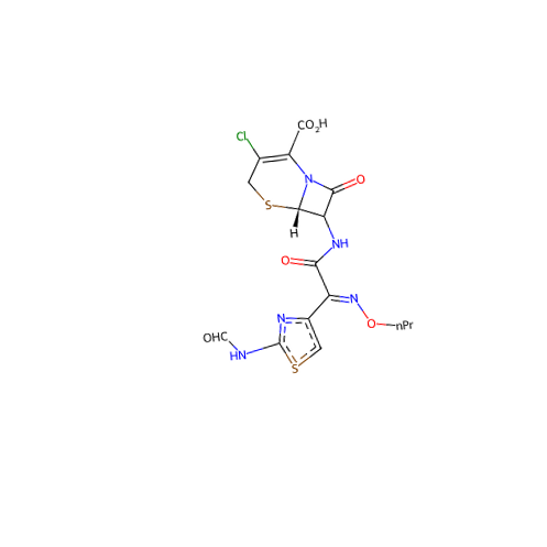 CCCON=C(C(=O)NC1C(=O)N2C(C(=O)O)=C(Cl)CS[C@@H]12)c1csc(NC=O)n1